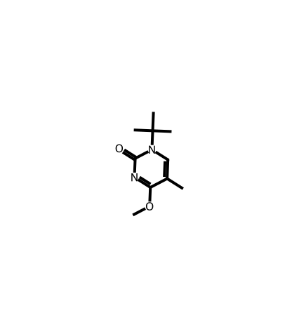 COc1nc(=O)n(C(C)(C)C)cc1C